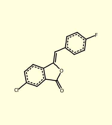 O=C1OC(=Cc2ccc(F)cc2)c2ccc(Cl)cc21